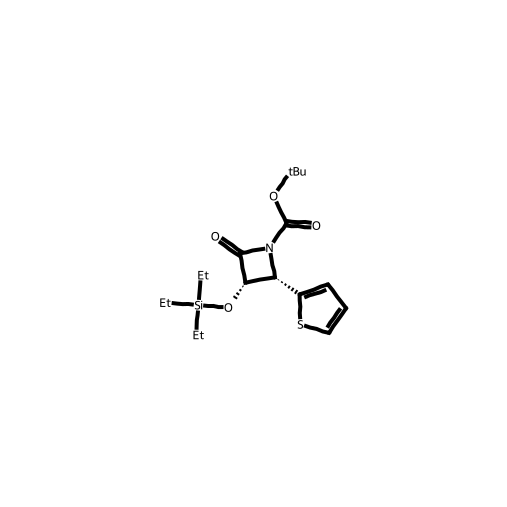 CC[Si](CC)(CC)O[C@@H]1C(=O)N(C(=O)OC(C)(C)C)[C@@H]1c1cccs1